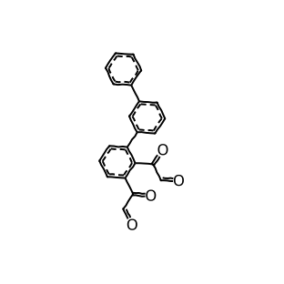 O=CC(=O)c1cccc(-c2cccc(-c3ccccc3)c2)c1C(=O)C=O